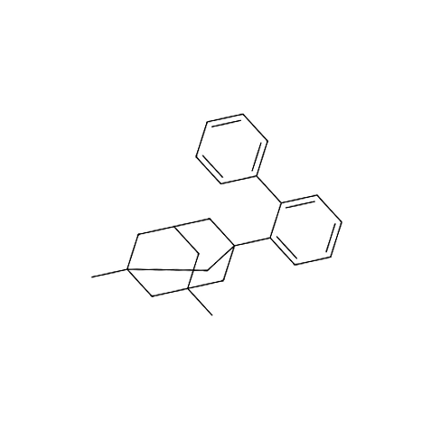 CC12CC3CC(C)(C1)CC(c1ccccc1-c1ccccc1)(C3)C2